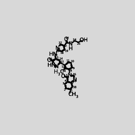 Cc1ccc2c(=O)n(-c3cccc(-c4cc(Nc5ccc(C(=O)NCCO)cn5)c(=O)[nH]n4)c3C)cnc2c1